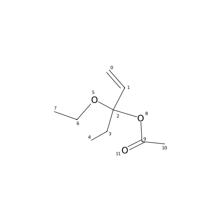 C=CC(CC)(OCC)OC(C)=O